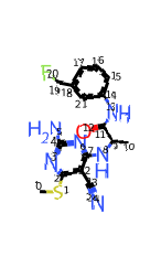 CSc1nc(N)nc(NC(C)C(=O)Nc2cccc(CF)c2)c1C#N